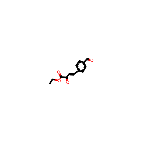 CCOC(=O)C(=O)C=Cc1ccc(C=O)cc1